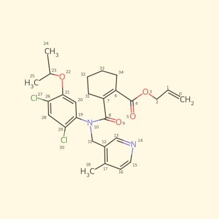 C=CCOC(=O)C1=C(C(=O)N(Cc2cnccc2C)c2cc(OC(C)C)c(Cl)cc2Cl)CCCC1